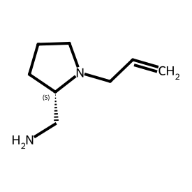 C=CCN1CCC[C@H]1CN